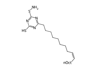 CCCCCCCC/C=C\CCCCCCCCc1nc(S)nc(SN)n1